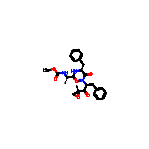 C[C@H](NC(=O)OC(C)(C)C)C(=O)N[C@@H](Cc1ccccc1)C(=O)NC(Cc1ccccc1)C(=O)[C@@]1(C)CO1